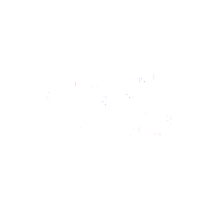 CCNC(=O)NC(CNC1CC/C=C\C(O)C(O)C1O)C(O)CC(O)CC